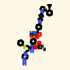 O=C(NS(=O)(=O)c1ccc(N[C@H](CCN2CCNCC2)CSc2ccccc2)c(S(=O)(=O)C(F)(F)F)c1)c1ccc(N2CC3(CC(N4CCC[C@H]4c4ccccc4C4CC4)C3)C2)cc1